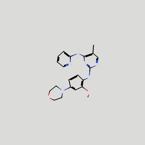 COc1cc(N2CCOCC2)ccc1Nc1ncc(C)c(Nc2ccccn2)n1